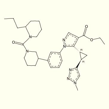 CCCC1CCCCN1C(=O)N1CCCC(c2cccc(-n3ncc(C(=O)OCC)c3[C@@H]3C[C@H]3c3cn(C)nn3)c2)C1